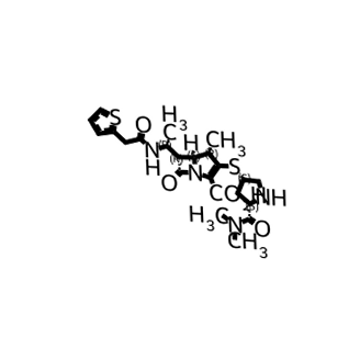 C[C@@H](NC(=O)Cc1cccs1)[C@H]1C(=O)N2C(C(=O)O)=C(S[C@@H]3CN[C@H](C(=O)N(C)C)C3)[C@H](C)[C@H]12